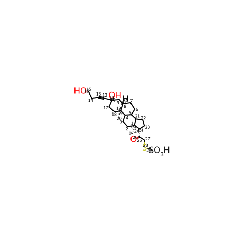 C[C@]12CCC3C(CC[C@@H]4C[C@@](O)(C#CCCO)CC[C@]34C)C1CC[C@@H]2C(=O)CSS(=O)(=O)O